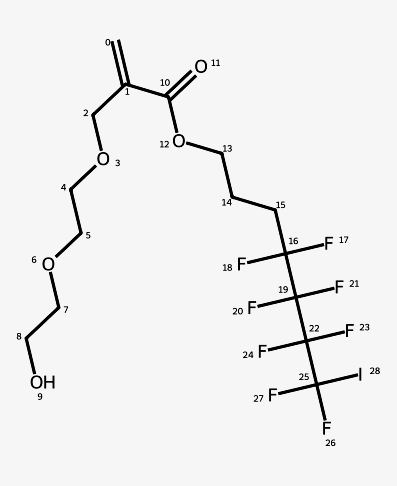 C=C(COCCOCCO)C(=O)OCCCC(F)(F)C(F)(F)C(F)(F)C(F)(F)I